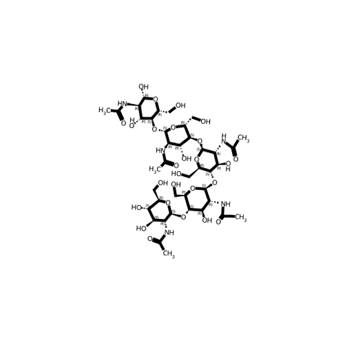 CC(=O)N[C@@H]1[C@@H](O)[C@H](O[C@@H]2O[C@H](CO)[C@@H](O[C@@H]3O[C@H](CO)[C@@H](O[C@@H]4O[C@H](CO)[C@@H](O[C@@H]5O[C@H](CO)[C@@H](O)[C@H](O)[C@H]5NC(C)=O)[C@H](O)[C@H]4NC(C)=O)[C@H](O)[C@H]3NC(C)=O)[C@H](O)[C@H]2NC(C)=O)[C@@H](CO)O[C@H]1O